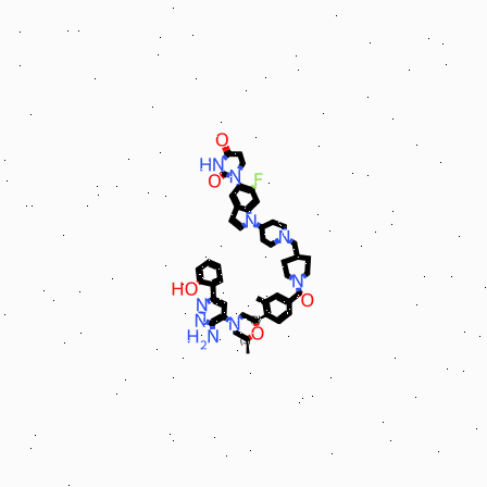 Cc1cc(C(=O)N2CCC(CN3CCC(n4ccc5cc(N6CCC(=O)NC6=O)c(F)cc54)CC3)CC2)ccc1[C@@H]1CN(c2cc(-c3ccccc3O)nnc2N)C[C@H](C)O1